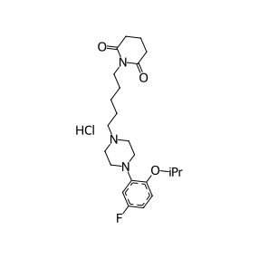 CC(C)Oc1ccc(F)cc1N1CCN(CCCCCN2C(=O)CCCC2=O)CC1.Cl